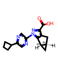 O=C(O)c1nn(-c2cnc(C3CCC3)cn2)c2c1C[C@H]1C[C@@H]21